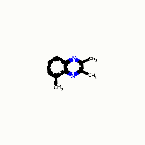 Cc1nc2cccc(C)c2nc1C